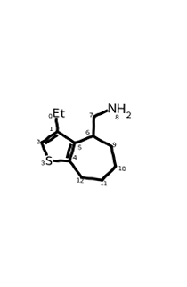 CCc1csc2c1C(CN)CCCC2